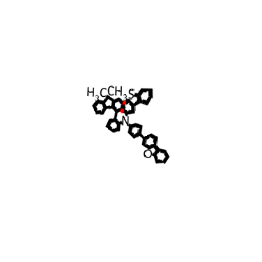 CC1(C)c2ccccc2-c2c(-c3ccccc3N(c3ccc(-c4ccc5c(c4)oc4ccccc45)cc3)c3ccc4sc5ccccc5c4c3)cccc21